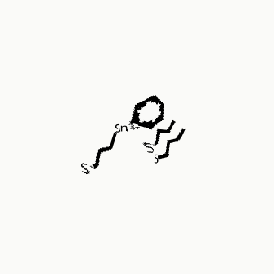 CCCC[S-].CCCC[S-].CCCC[S-].[Sn+3][c]1ccccc1